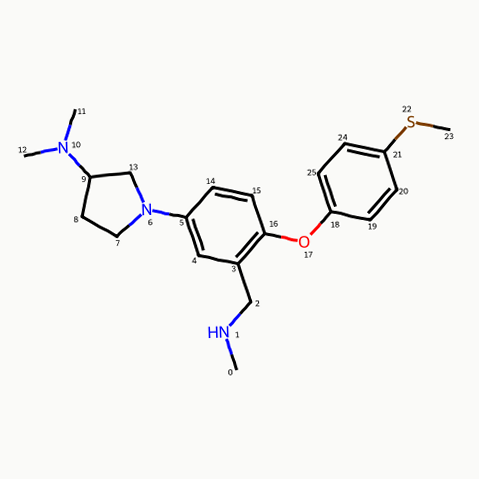 CNCc1cc(N2CCC(N(C)C)C2)ccc1Oc1ccc(SC)cc1